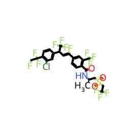 C[C@H](CS(=O)(=O)CC(F)(F)F)NC(=O)c1ccc(/C(F)=C/C(c2ccc(C(F)(F)CF)c(Cl)c2)C(F)(F)F)cc1C(F)(F)F